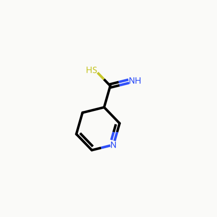 N=C(S)C1C=NC=CC1